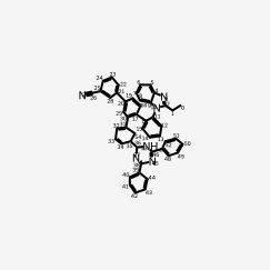 CCc1nc2ccccc2n1-c1ccccc1-c1ccc(-c2cccc(C#N)c2)cc1C1=CC=CC(C2N=C(c3ccccc3)N=C(c3ccccc3)N2)C1